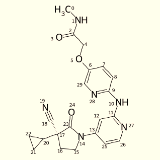 CNC(=O)COc1ccc(Nc2cc(N3CC[C@@](C#N)(C4CC4)C3=O)ccn2)nc1